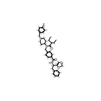 CCC(CC)C(=O)N(Cc1ccc(C(=O)NC(Cc2ccccc2)C2=COCO2)cc1)C1CCN(Cc2ccc(F)cc2)CC1